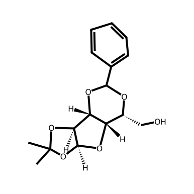 CC1(C)O[C@@H]2O[C@@H]3[C@@H](OC(c4ccccc4)O[C@@H]3CO)[C@@H]2O1